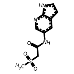 CS(=O)(=O)CC(=O)Nc1cnc2[nH]ccc2c1